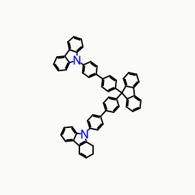 C1=Cc2c(n(-c3ccc(-c4ccc(C5(c6ccc(-c7ccc(-n8c9ccccc9c9ccccc98)cc7)cc6)c6ccccc6-c6ccccc65)cc4)cc3)c3ccccc23)CC1